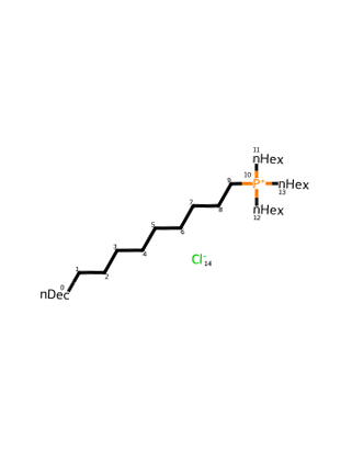 CCCCCCCCCCCCCCCCCCC[P+](CCCCCC)(CCCCCC)CCCCCC.[Cl-]